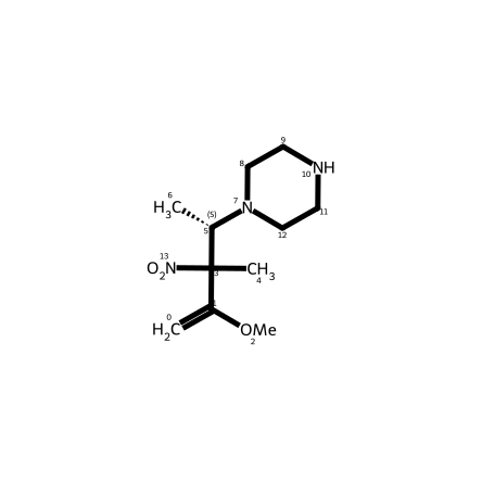 C=C(OC)C(C)([C@H](C)N1CCNCC1)[N+](=O)[O-]